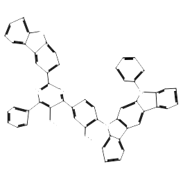 N#Cc1cc(-c2nc(-c3ccc4oc5ccccc5c4c3)nc(-c3ccccc3)c2C#N)ccc1-n1c2ccccc2c2cc3c4ccccc4n(-c4ccccc4)c3cc21